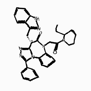 CCC1CCCCN1C(=O)CN1C(=O)[C@@H](Cc2n[nH]c3ccccc23)c2nnc(-c3ccccc3)n2-c2ccccc21